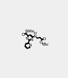 CNC(=O)c1cc(NCCC(=O)OC(C)(C)C)nc(-c2ccccn2)n1